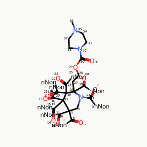 CCCCCCCCCC(=O)N1CC(C(=O)CCCCCCCCC)(C(=O)CCCCCCCCC)C(C(=O)CCCCCCCCC)(C(=O)CCCCCCCCC)C(C(=O)CCCCCCCCC)(C(=O)CCCCCCCCC)C1(CCOC(=O)N1CCN(C)CC1)C(=O)CCCCCCCCC